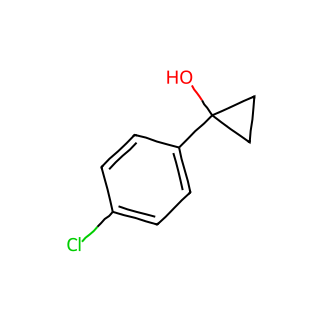 OC1(c2ccc(Cl)cc2)CC1